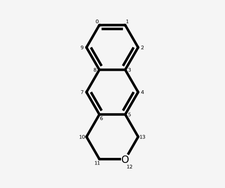 c1ccc2cc3c(cc2c1)CCOC3